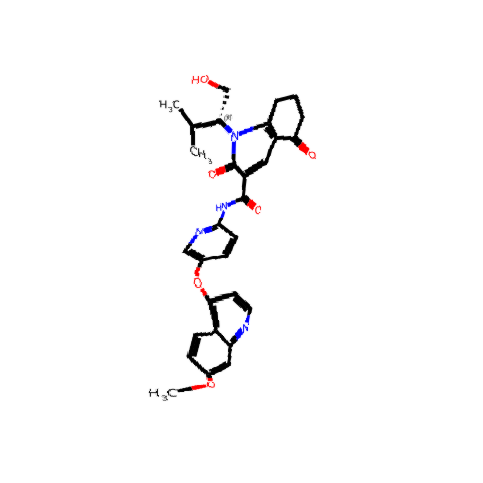 COc1ccc2c(Oc3ccc(NC(=O)c4cc5c(n([C@@H](CO)C(C)C)c4=O)CCCC5=O)nc3)ccnc2c1